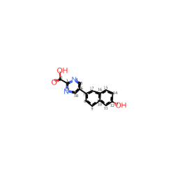 O=C(O)c1ncc(-c2ccc3cc(O)ccc3c2)cn1